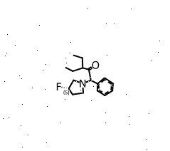 CCC(CC)C(=O)C(c1ccccc1)N1CC[C@H](F)C1